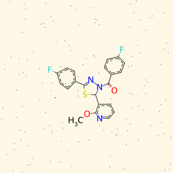 COc1ncccc1C1SC(c2ccc(F)cc2)=NN1C(=O)c1ccc(F)cc1